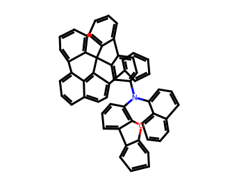 c1ccc(-c2ccc3cccc4c3c2C2(c3ccccc3-c3ccc(N(c5cccc6ccccc56)c5cccc6c5oc5ccccc56)cc32)c2ccccc2-4)cc1